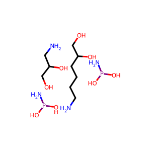 NCC(O)CO.NCCCCC(O)CO.NP(O)O.NP(O)O